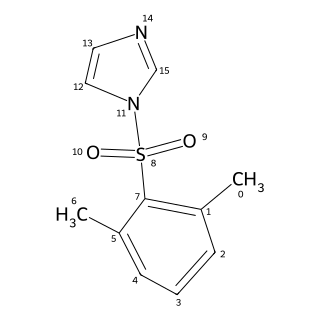 Cc1cccc(C)c1S(=O)(=O)n1ccnc1